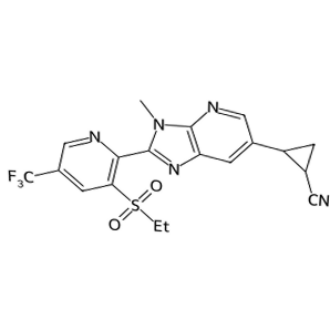 CCS(=O)(=O)c1cc(C(F)(F)F)cnc1-c1nc2cc(C3CC3C#N)cnc2n1C